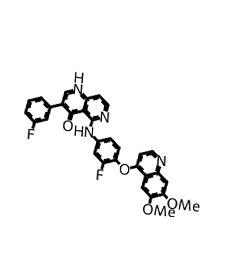 COc1cc2nccc(Oc3ccc(Nc4nccc5[nH]cc(-c6cccc(F)c6)c(=O)c45)cc3F)c2cc1OC